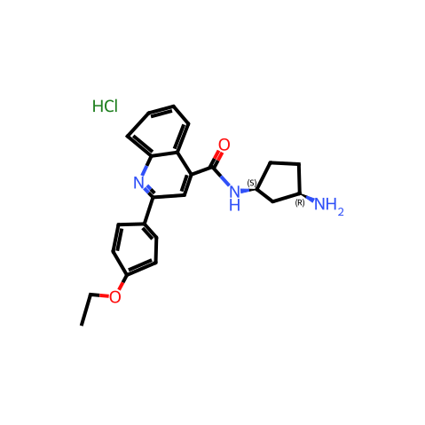 CCOc1ccc(-c2cc(C(=O)N[C@H]3CC[C@@H](N)C3)c3ccccc3n2)cc1.Cl